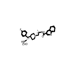 C[C@@H](CN1CCC([C@H](CNC=O)c2ccc(F)cc2)CC1)NC(=O)c1cnc2ccccc2c1